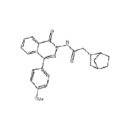 COc1ccc(-c2nn(NC(=O)CC3CC4CCC3C4)c(=O)c3ccccc23)cc1